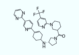 O=C(C1CCCN(c2cc(C(F)(F)F)ccn2)C1)N1CC[C@H](NC2CC=C(c3ccc(-c4ncccn4)cn3)CC2)C1